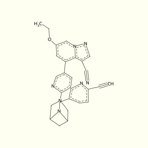 C#Cc1ccc(CN2C3CC2CN(c2ccc(-c4cc(OCC)cn5ncc(C#N)c45)cn2)C3)cn1